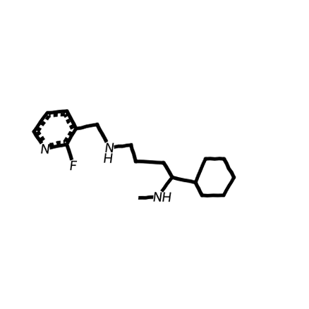 CNC(CCCNCc1cccnc1F)C1CCCCC1